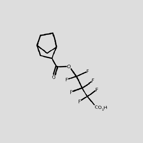 O=C(OC(F)(F)C(F)(F)C(F)(F)C(=O)O)C1CC2CCC1C2